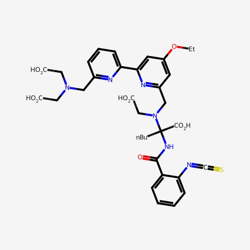 CCCCC(NC(=O)c1ccccc1N=C=S)(C(=O)O)N(CC(=O)O)Cc1cc(OCC)cc(-c2cccc(CN(CC(=O)O)CC(=O)O)n2)n1